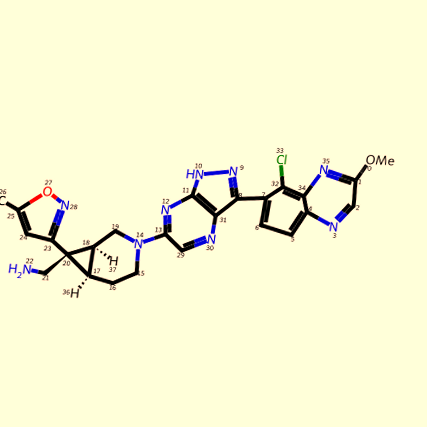 COc1cnc2ccc(-c3n[nH]c4nc(N5CC[C@@H]6[C@H](C5)[C@@]6(CN)c5cc(C)on5)cnc34)c(Cl)c2n1